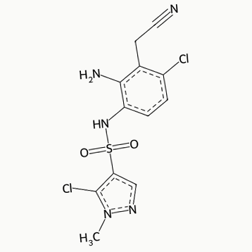 Cn1ncc(S(=O)(=O)Nc2ccc(Cl)c(CC#N)c2N)c1Cl